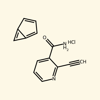 C#Cc1ncccc1C(N)=O.Cl.c1cc2cc-2c1